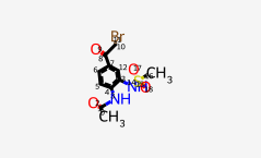 CC(=O)Nc1ccc(C(=O)CBr)cc1NS(C)(=O)=O